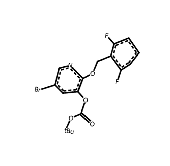 CC(C)(C)OC(=O)Oc1cc(Br)cnc1OCc1c(F)cccc1F